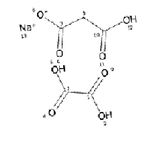 O=C(O)C(=O)O.O=C([O-])CC(=O)O.[Na+]